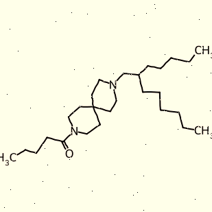 CCCCCCC(CCCCC)CN1CCC2(CC1)CCN(C(=O)CCCC)CC2